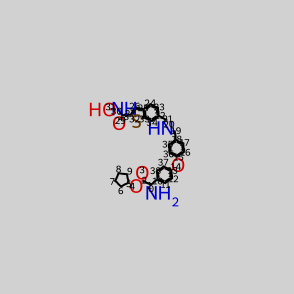 N[C@H](C(=O)OC1CCCC1)c1ccc(Oc2ccc(CNCc3ccc4cc(C(=O)NO)sc4c3)cc2)cc1